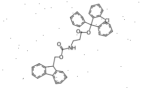 O=C(CCNC(=O)OCC1c2ccccc2-c2ccccc21)OC(c1ccccc1)(c1ccccc1)c1ccccc1Cl